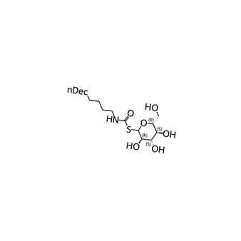 CCCCCCCCCCCCCCNC(=O)SC1O[C@H](CO)[C@@H](O)[C@H](O)[C@H]1O